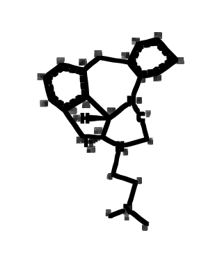 CN(C)CCN1CCN2c3ccccc3Cc3cccc4c3[C@H]2[C@@H]1C4